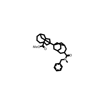 COC(=O)C12CCCC3CC1CC(C14CC5CC(C(=O)N(C)Cc6ccccc6)CC(C1)C(C5)C4)(C3)C2